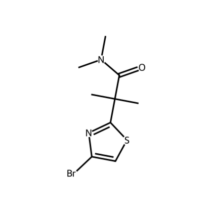 CN(C)C(=O)C(C)(C)c1nc(Br)cs1